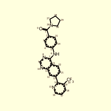 O=C(c1ccc(Nc2ncnc3cc(-c4ncccc4C(F)(F)F)ccc23)cc1)N1CCCC1